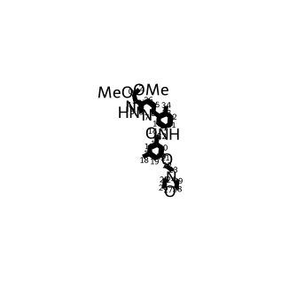 COC(OC)c1n[nH]c2nc(-c3cc(NC(=O)c4cc(C)cc(OCCN5CCOCC5)c4)ccc3C)ccc12